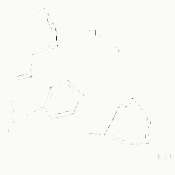 CN.Nc1cc(Oc2ccc(C(=O)c3ccccc3)c([N+](=O)[O-])c2)ccn1